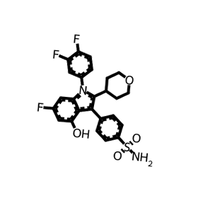 NS(=O)(=O)c1ccc(-c2c(C3CCOCC3)n(-c3ccc(F)c(F)c3)c3cc(F)cc(O)c23)cc1